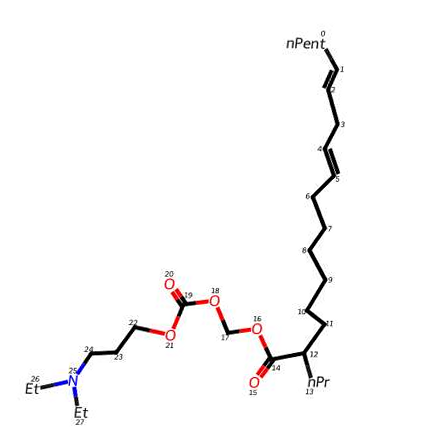 CCCCCC=CCC=CCCCCCCC(CCC)C(=O)OCOC(=O)OCCCN(CC)CC